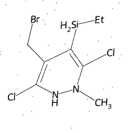 CC[SiH2]C1=C(Cl)N(C)NC(Cl)=C1CBr